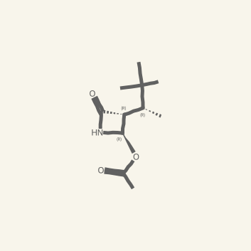 CC(=O)O[C@H]1NC(=O)[C@@H]1[C@@H](C)C(C)(C)C